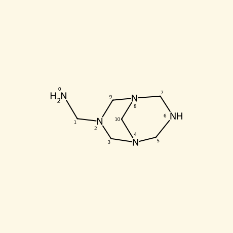 NCN1CN2CNCN(C1)C2